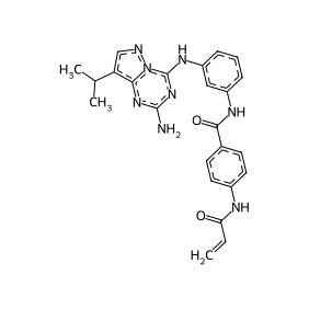 C=CC(=O)Nc1ccc(C(=O)Nc2cccc(Nc3nc(N)nc4c(C(C)C)cnn34)c2)cc1